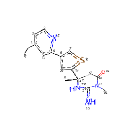 Cc1ccnc(-c2csc([C@]3(C)CC(=O)N(C)C(=N)N3)c2)c1